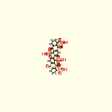 O=C1c2cccc(S(=O)(=O)O)c2C(=O)c2c1ccc(-c1ccc3c(c1S(=O)(=O)O)C(=O)c1cccc(S(=O)(=O)O)c1C3=O)c2S(=O)(=O)O